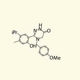 COc1ccc(CN2CC(=O)NN=C2c2cc(C(C)C)c(C)cc2O)cc1